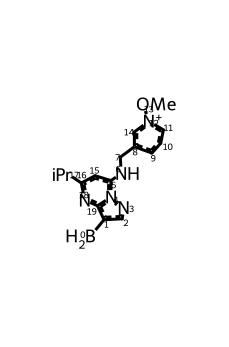 Bc1cnn2c(NCc3ccc[n+](OC)c3)cc(C(C)C)nc12